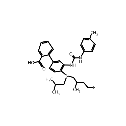 Cc1ccc(NC(=O)Nc2cc(-c3ccccc3C(=O)O)ccc2N(CC(C)C)CC(C)CCF)cc1